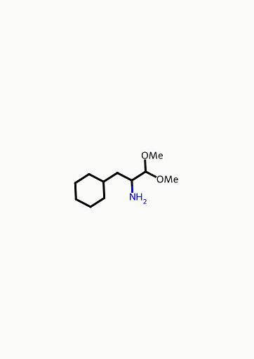 COC(OC)C(N)CC1CCCCC1